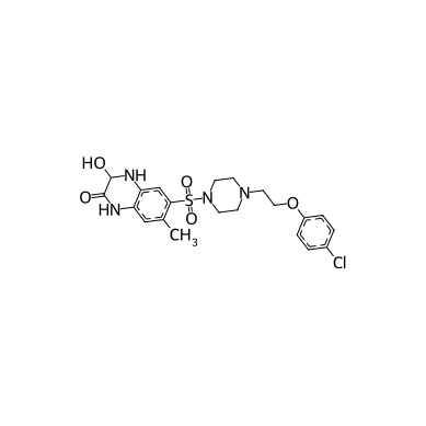 Cc1cc2c(cc1S(=O)(=O)N1CCN(CCOc3ccc(Cl)cc3)CC1)NC(O)C(=O)N2